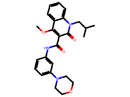 COc1c(C(=O)Nc2cccc(N3CCOCC3)c2)c(=O)n(CC(C)C)c2ccccc12